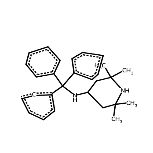 CC1(C)CC(NC(c2ccccc2)(c2ccccc2)c2ccccc2)CC(C)(C)N1